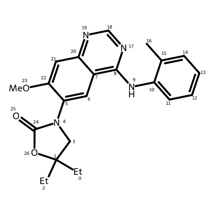 CCC1(CC)CN(c2cc3c(Nc4ccccc4C)ncnc3cc2OC)C(=O)O1